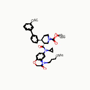 COCCCN1C(=O)COc2ccc(N(C(=O)[C@H]3CN(C(=O)OC(C)(C)C)CC[C@@H]3c3cccc(-c4cccc(OC(C)=O)c4)c3)C3CC3)cc21